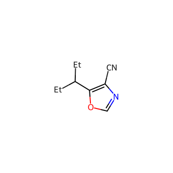 CCC(CC)c1ocnc1C#N